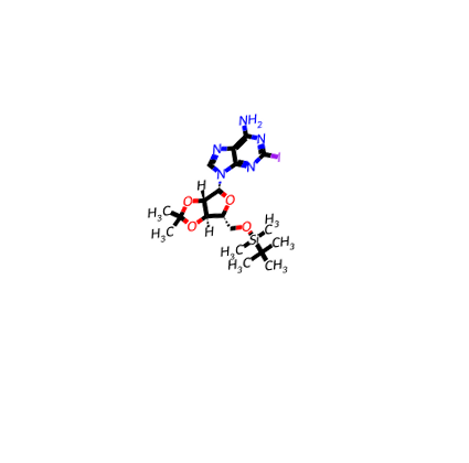 CC1(C)O[C@H]2[C@H](O1)[C@@H](CO[Si](C)(C)C(C)(C)C)O[C@H]2n1cnc2c(N)nc(I)nc21